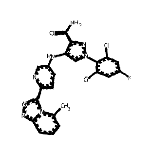 Cc1cccc2nnc(-c3ccc(Nc4cn(-c5c(Cl)cc(F)cc5Cl)nc4C(N)=O)cn3)n12